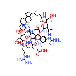 CC(C)[C@H](CC(=O)[C@@H](NC(=O)CC[C@@H](C)[C@H]1CCC2C3CCC4C[C@H](O)CC[C@]4(C)C3CC[C@@]21C)[C@@H](C)O)C(=O)N[C@@H](Cc1ccccc1)C(=O)C[C@H](CCCNC(=N)N)C(=O)N[C@@H](CO)C(=O)CC(CO)C(=O)N[C@@H](CCCNC(=N)N)C(=O)C[C@@H](CCC(=O)O)C(=O)N[C@@H](CCCCN)C(=O)C[C@H](C)CCCNC(=N)N